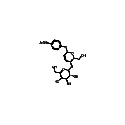 CC(=O)Nc1ccc(O[C@@H]2C=C[C@H](OC3OC(CO)C(O)C(O)[C@H]3O)C(CO)O2)cc1